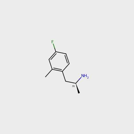 Cc1cc(F)ccc1C[C@H](C)N